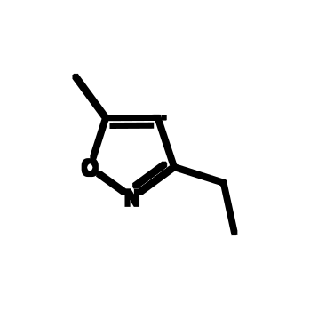 CCc1[c]c(C)on1